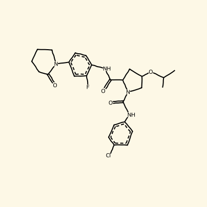 CC(C)OC1CC(C(=O)Nc2ccc(N3CCCCC3=O)cc2F)N(C(=O)Nc2ccc(Cl)cc2)C1